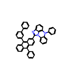 c1ccc(-c2cccc(-c3c4ccccc4c(-c4ccccc4)c4ccc(-c5nc6cccc7c6n5-c5ccccc5N7c5ccccc5)cc34)c2)cc1